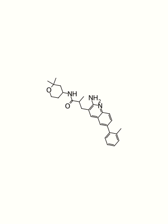 Cc1ccccc1-c1ccc2nc(N)c(CC(C)C(=O)NC3CCOC(C)(C)C3)cc2c1